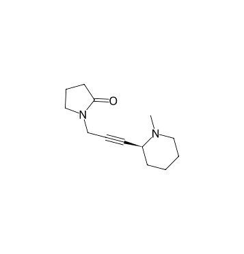 CN1CCCC[C@H]1C#CCN1CCCC1=O